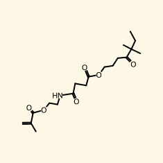 C=C(C)C(=O)OCCNC(=O)CCC(=O)OCCCC(=O)C(C)(C)CC